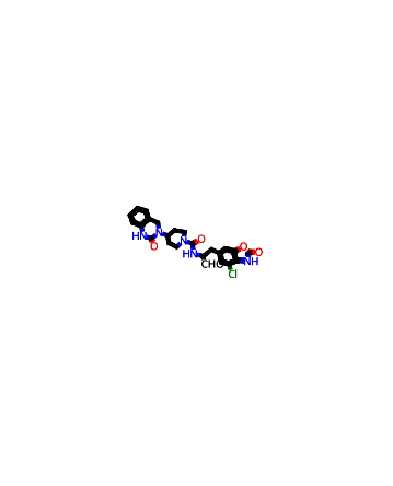 O=CC(Cc1cc(Cl)c2[nH]c(=O)oc2c1)NC(=O)N1CCC(N2Cc3ccccc3NC2=O)CC1